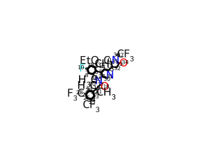 CCOC(=O)C1C(c2cc(-c3ccc(F)cc3C)c(N(C)C(=O)C(C)(C)c3cc(C(F)(F)F)cc(C(F)(F)F)c3)cn2)CC(=O)N1CC(F)(F)F